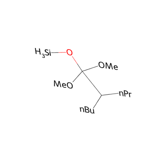 CCCCC(CCC)C(OC)(OC)O[SiH3]